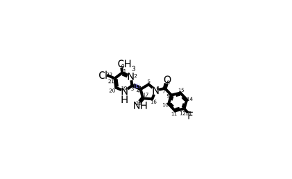 CC1=N/C(=C2\CN(C(=O)c3ccc(F)cc3)CC2=N)NC=C1Cl